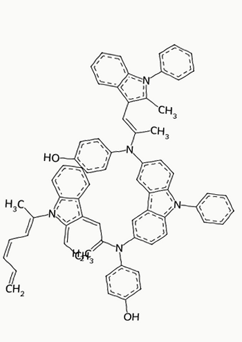 C=C/C=C\C=C(/C)n1c(=C/C)/c(=C\C(=C)N(c2ccc(O)cc2)c2ccc3c(c2)c2cc(N(/C(C)=C/c4c(C)n(-c5ccccc5)c5ccccc45)c4ccc(O)cc4)ccc2n3-c2ccccc2)c2ccccc21